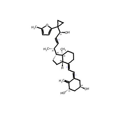 C=C1/C(=C\C=C2/CCC[C@]3(C)[C@@H]([C@H](C)/C=C/[C@H](O)C4(c5ccc(C)o5)CC4)CC[C@@H]23)C[C@@H](O)C[C@@H]1O